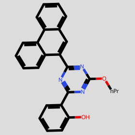 CCCOc1nc(-c2ccccc2O)nc(-c2cc3ccccc3c3ccccc23)n1